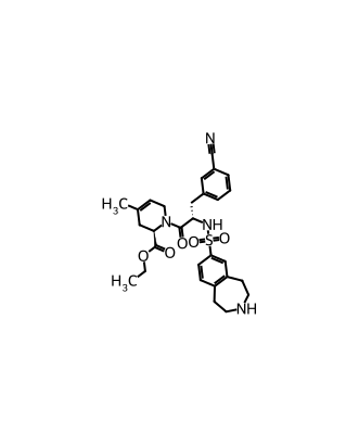 CCOC(=O)[C@H]1CC(C)=CCN1C(=O)[C@H](Cc1cccc(C#N)c1)NS(=O)(=O)c1ccc2c(c1)CCNCC2